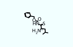 CC(C)C[C@H](N)C(=S)NC(=O)OCc1ccccc1